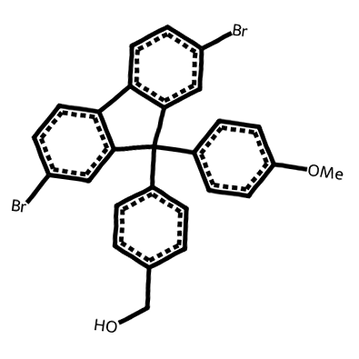 COc1ccc(C2(c3ccc(CO)cc3)c3cc(Br)ccc3-c3ccc(Br)cc32)cc1